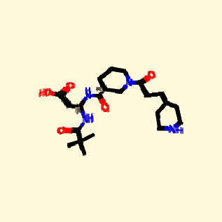 CC(C)(C)C(=O)N[C@H](CC(=O)O)NC(=O)[C@@H]1CCCN(C(=O)CCC2CCNCC2)C1